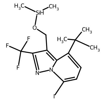 C[SiH](C)OCc1c(C(F)(F)F)nn2c(I)ccc(C(C)(C)C)c12